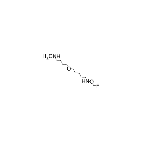 CNCCCCOCCCCCNOCF